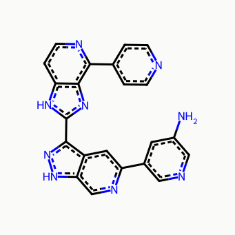 Nc1cncc(-c2cc3c(-c4nc5c(-c6ccncc6)nccc5[nH]4)n[nH]c3cn2)c1